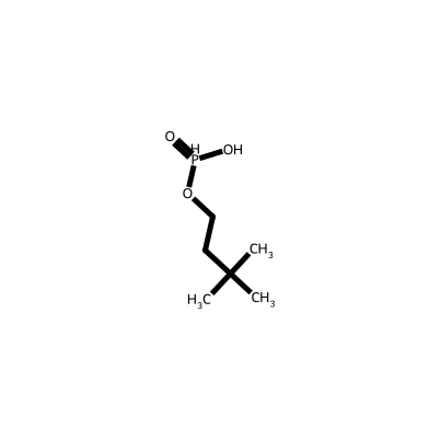 CC(C)(C)CCO[PH](=O)O